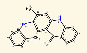 C=C1c2ccccc2Nc2cc(C)c(Nc3ccccc3C)cc21